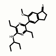 CCc1nc(-c2cc3c(cc2OC)C(=S)CC3)c(CC)nc1NC(CC)CC